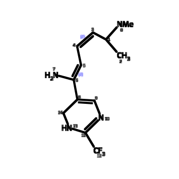 CNC(C)/C=C\C=C(/N)C1=CN=C(C(F)(F)F)NC1